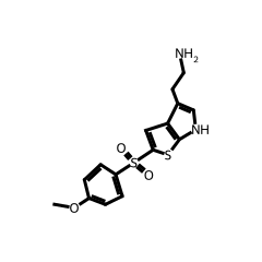 COc1ccc(S(=O)(=O)c2cc3c(CCN)c[nH]c3s2)cc1